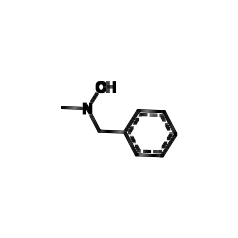 CN(O)Cc1ccccc1